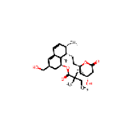 CCC(C)(C)C(=O)O[C@H]1CC(CO)C=C2C=C[C@H](C)[C@H](CC[C@@H]3C[C@@H](O)CC(=O)O3)[C@H]21